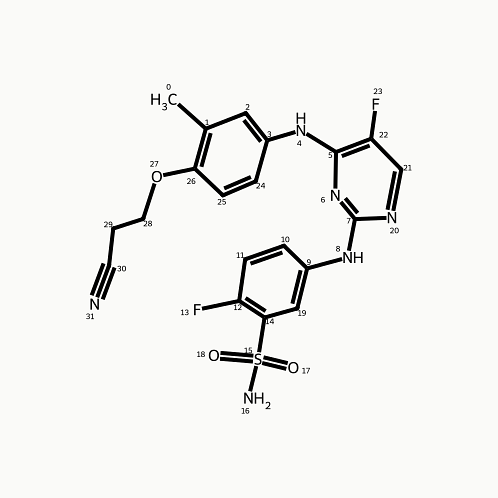 Cc1cc(Nc2nc(Nc3ccc(F)c(S(N)(=O)=O)c3)ncc2F)ccc1OCCC#N